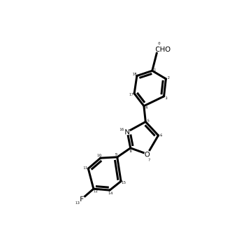 O=Cc1ccc(-c2coc(-c3ccc(F)cc3)n2)cc1